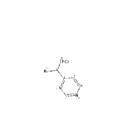 O=CC(Br)c1ccncn1